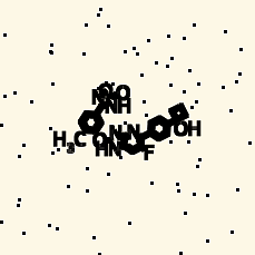 Cc1ccc(-c2noc(=O)[nH]2)cc1Oc1nc2nc(-c3ccc(C4(O)CCC4)cc3)c(F)cc2[nH]1